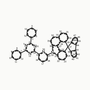 c1ccc(-c2nc(-c3ccccc3)nc(-c3cccc(-n4c5cccc6c5c5c7c(cccc7ccc54)C64c5ccccc5-c5ccccc54)n3)n2)cc1